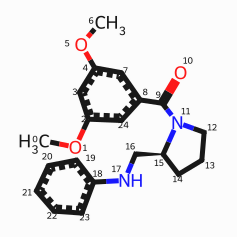 COc1cc(OC)cc(C(=O)N2CCC[C@H]2CNc2ccccc2)c1